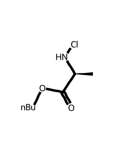 CCCCOC(=O)[C@H](C)NCl